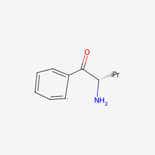 CC(C)[C@H](N)C(=O)c1[c]cccc1